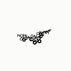 COc1nc(-c2cccc(-c3cccc(-c4cc5c(=O)n(C)c(CNCCCF)nn5c4)c3Cl)c2Cl)ccc1CN(CC1CCC(=O)N1)C(=O)O